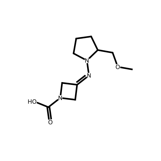 COCC1CCCN1N=C1CN(C(=O)O)C1